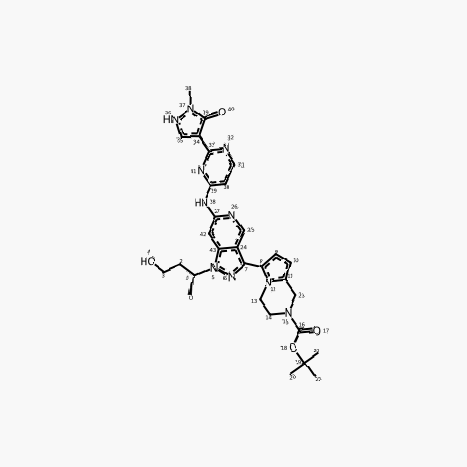 C[C@@H](CCO)n1nc(-c2ccc3n2CCN(C(=O)OC(C)(C)C)C3)c2cnc(Nc3ccnc(-c4c[nH]n(C)c4=O)n3)cc21